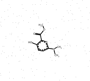 COC(=O)c1nc(N(C)C)ccc1O